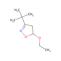 CCOC1CC(C(C)(C)C)=NO1